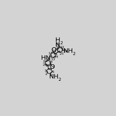 Nc1ccc2c(c1)oc1cc(Nc3ccc4c(c3)oc3c(N)cc(N)cc34)ccc12